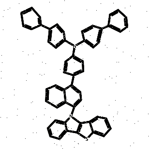 c1ccc(-c2ccc(N(c3ccc(-c4ccccc4)cc3)c3ccc(-c4ccc(-n5c6ccccc6c6sc7ccccc7c65)c5ccccc45)cc3)cc2)cc1